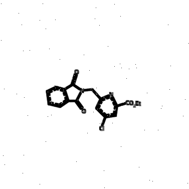 CCOC(=O)c1cc(Cl)cc(CN2C(=O)c3ccccc3C2=O)n1